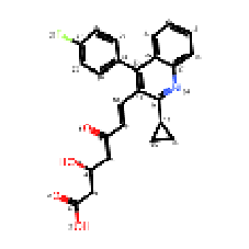 O=C(O)CC(O)CC(=O)C=Cc1c(C2CC2)nc2ccccc2c1-c1ccc(F)cc1